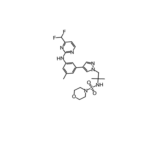 Cc1cc(Nc2nccc(C(F)F)n2)cc(-c2cnn(CC(C)(C)NS(=O)(=O)N3CCOCC3)c2)c1